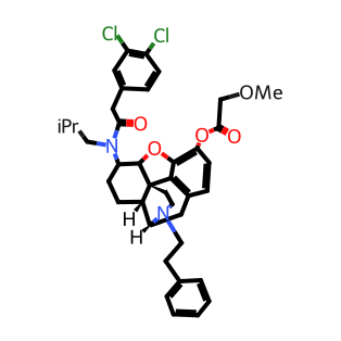 COCC(=O)Oc1ccc2c3c1OC1C(N(CC(C)C)C(=O)Cc4ccc(Cl)c(Cl)c4)CC[C@H]4[C@@H](C2)N(CCc2ccccc2)CC[C@]314